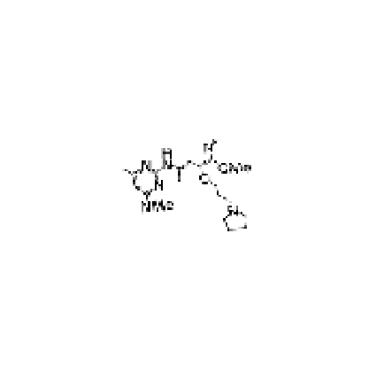 C=N/C(OC)=C(\C=C(/C)Nc1nc(C)cc(NC)n1)OCCCN1CCCC1